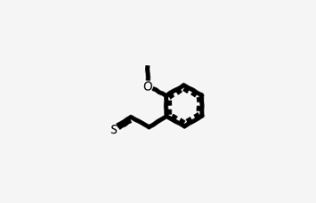 COc1ccccc1CC=S